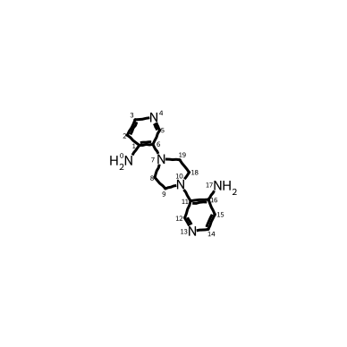 Nc1ccncc1N1CCN(c2cnccc2N)CC1